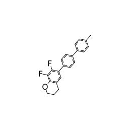 Cc1ccc(-c2ccc(-c3cc4c(c(F)c3F)OCCC4)cc2)cc1